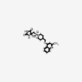 Cc1cc(OCC2CCN(S(=O)(=O)CC3(C)NC(=O)NC3=O)CC2)c2ccccc2n1